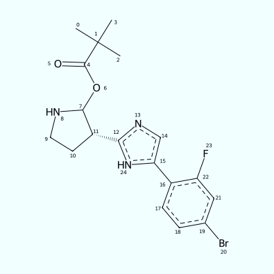 CC(C)(C)C(=O)OC1NCC[C@H]1c1ncc(-c2ccc(Br)cc2F)[nH]1